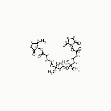 C=C1CCC(=O)N1OC(=O)CCCOC(C)(C)CCOC(C)(C)CCCC(=O)ON1C(=O)CCC1=O